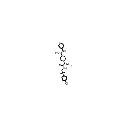 CC(C)(CNC(=O)[C@@H](N)C1CCC(C(O)Nc2ccncc2)CC1)c1ccc(Cl)cc1